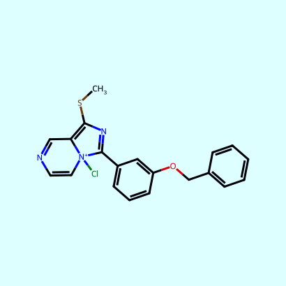 CSC1=C2C=NC=C[N+]2(Cl)C(c2cccc(OCc3ccccc3)c2)=N1